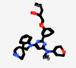 CNCC(O)COc1cccc(-c2nc(N3CC4(CCNCC4)c4ccccc43)cc(N(C)C3CCOCC3)n2)c1